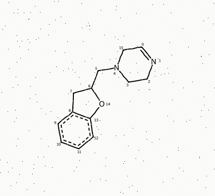 C1=NCCN(CC2Cc3ccccc3O2)C1